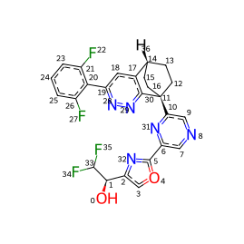 O[C@H](c1coc(-c2cncc([C@]34CC[C@H](CC3)c3cc(-c5c(F)cccc5F)nnc34)n2)n1)C(F)F